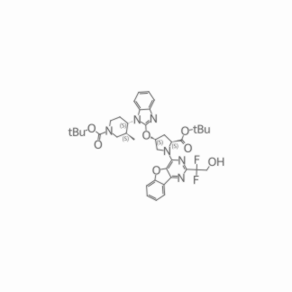 C[C@H]1CN(C(=O)OC(C)(C)C)CC[C@@H]1n1c(O[C@H]2C[C@@H](C(=O)OC(C)(C)C)N(c3nc(C(F)(F)CO)nc4c3oc3ccccc34)C2)nc2ccccc21